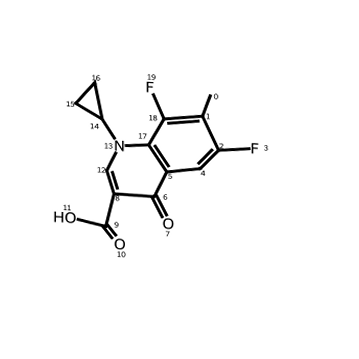 Cc1c(F)cc2c(=O)c(C(=O)O)cn(C3CC3)c2c1F